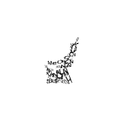 COc1c(Oc2cnc3sccc3c2)cnc2nc(Nc3cc(C(C)(C)C)n([C@H]4CCN(C)C4)n3)n(C)c12